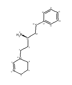 N[C@H](CCN1C=NCCC1)CSc1ccccc1